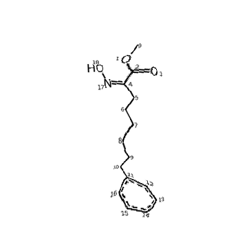 COC(=O)C(CCCCCCc1ccccc1)=NO